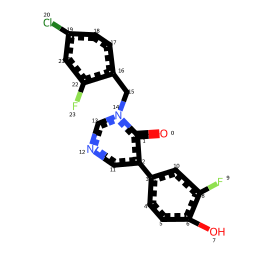 O=c1c(-c2ccc(O)c(F)c2)cncn1Cc1ccc(Cl)cc1F